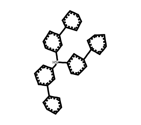 c1ccc(-c2cccc([SiH](c3cccc(-c4ccccc4)c3)c3cccc(-c4ccccc4)c3)c2)cc1